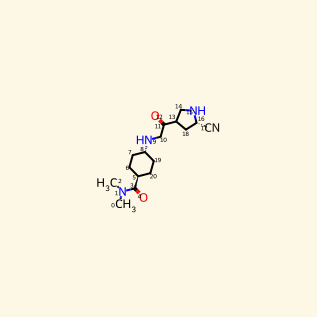 CN(C)C(=O)[C@H]1CC[C@H](NCC(=O)C2CN[C@H](C#N)C2)CC1